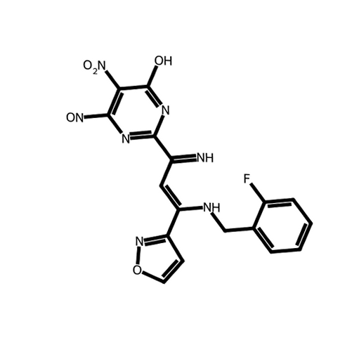 N=C(/C=C(\NCc1ccccc1F)c1ccon1)c1nc(O)c([N+](=O)[O-])c(N=O)n1